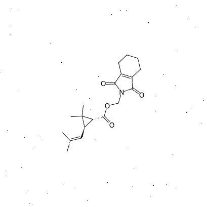 CC(C)=C[C@@H]1[C@@H](C(=O)OCN2C(=O)C3=C(CCCC3)C2=O)C1(C)C